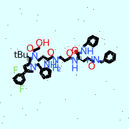 CC(C)(C)[C@H](c1cc(-c2cc(F)ccc2F)cn1Cc1ccccc1)N(CC[C@H](N)C(=O)NCCC(=O)N[C@H](CCC(=O)NCc1ccccc1)C(=O)NCc1ccccc1)C(=O)CO